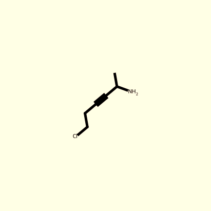 CC(N)C#CCCCl